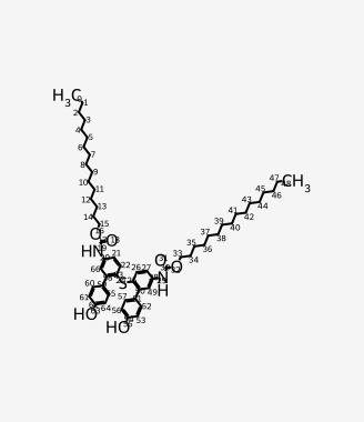 CCCCCCCCCCCCCCCCOC(=O)Nc1ccc(Sc2ccc(NC(=O)OCCCCCCCCCCCCCCCC)cc2-c2ccc(O)cc2)c(-c2ccc(O)cc2)c1